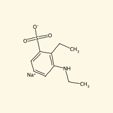 CCNc1cccc(S(=O)(=O)[O-])c1CC.[Na+]